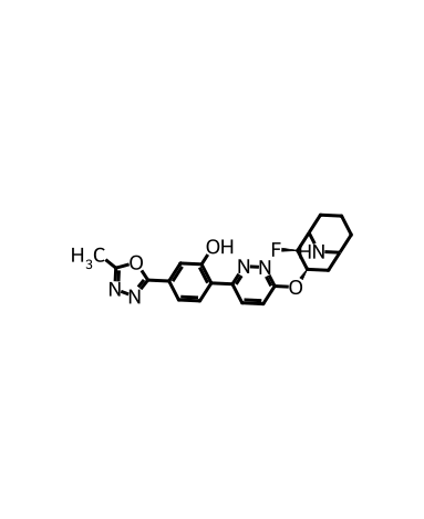 Cc1nnc(-c2ccc(-c3ccc(O[C@@H]4CC5CCCC(N5)[C@@H]4F)nn3)c(O)c2)o1